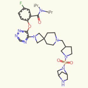 CC(C)N(C(=O)c1cc(F)ccc1Oc1nncnc1N1CC2(CCN(CC3CCN(S(=O)(=O)N4CC5CC4CN5)C3)CC2)C1)C(C)C